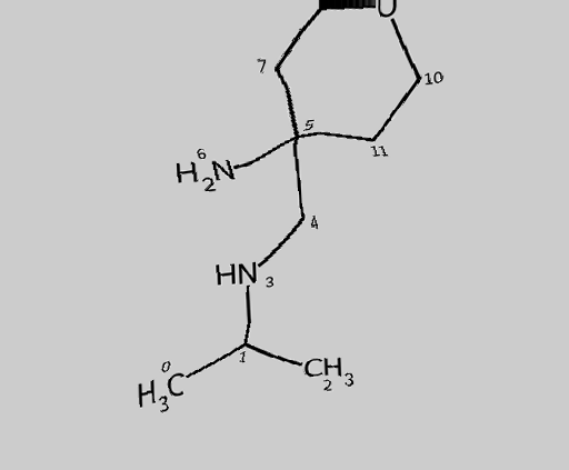 CC(C)NCC1(N)CCOCC1